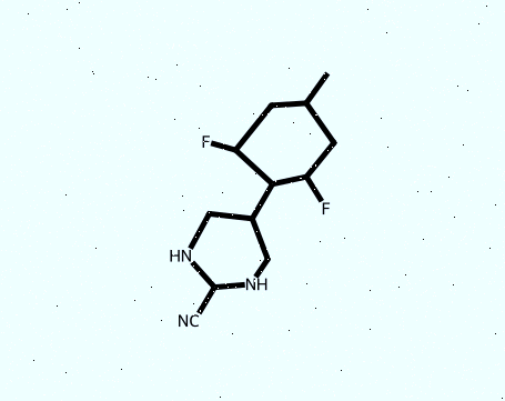 CC1CC(F)C(C2CNC(C#N)NC2)C(F)C1